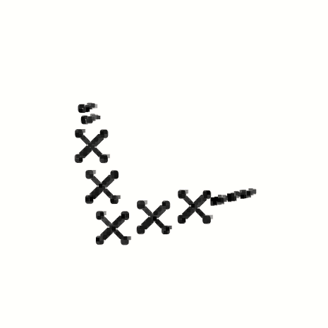 O=S(=O)([O-])[O-].O=S(=O)([O-])[O-].O=S(=O)([O-])[O-].O=S(=O)([O-])[O-].O=S(=O)([O-])[O-].[Co+2].[Cu+2].[Mn+2].[Ni+2].[Zn+2]